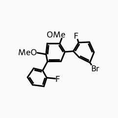 COc1cc(OC)c(-c2cc(Br)ccc2F)cc1-c1ccccc1F